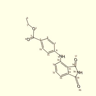 CCOC(=O)c1ccc(Nc2cccc3c2C(=O)NC3=O)cc1